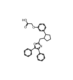 O=C(O)COc1cccc(C2CCCC2Cc2nc(-c3ccccc3)c(-c3ccccc3)o2)c1